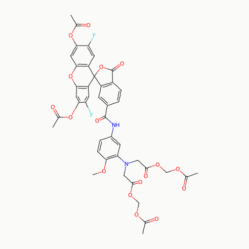 COc1ccc(NC(=O)c2ccc3c(c2)C2(OC3=O)c3cc(F)c(OC(C)=O)cc3Oc3cc(OC(C)=O)c(F)cc32)cc1N(CC(=O)OCOC(C)=O)CC(=O)OCOC(C)=O